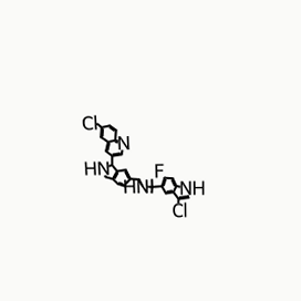 CC(C)(NCc1ccc2c(c1)C(c1cnc3ccc(Cl)cc3c1)NC2)c1cc2c(Cl)c[nH]c2cc1F